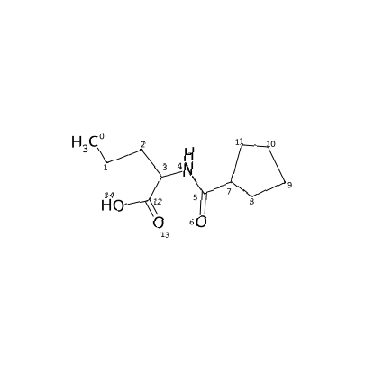 CCCC(NC(=O)C1CCCC1)C(=O)O